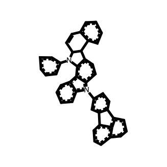 C1=CC2C(c3ccccc31)c1ccc3c(c1N2c1ccccc1)c1ccccc1n3-c1ccc2c(c1)-c1cccc3cccc-2c13